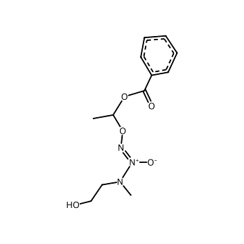 CC(ON=[N+]([O-])N(C)CCO)OC(=O)c1ccccc1